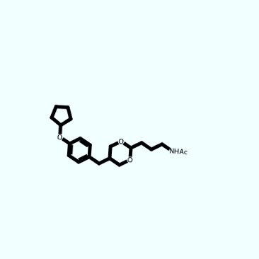 CC(=O)NCCCC1OCC(Cc2ccc(OC3CCCC3)cc2)CO1